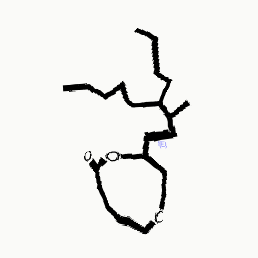 CCCCCC(CCCC)C(C)/C=C/C1CCCCCCCC(=O)O1